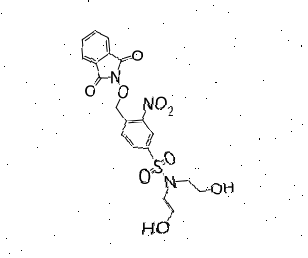 O=C1c2ccccc2C(=O)N1OCc1ccc(S(=O)(=O)N(CCO)CCO)cc1[N+](=O)[O-]